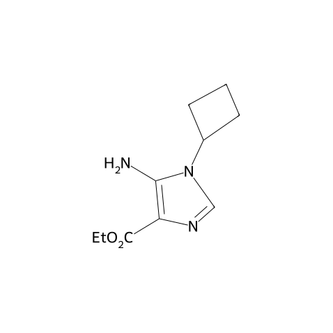 CCOC(=O)c1ncn(C2CCC2)c1N